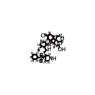 CN(C(=O)O)[C@H](C(=O)Nc1cncc(F)c1CC[C@H]1CNCCN1S(=O)(=O)c1ccccc1)C1(c2ccc(Cl)cc2)CCOCC1